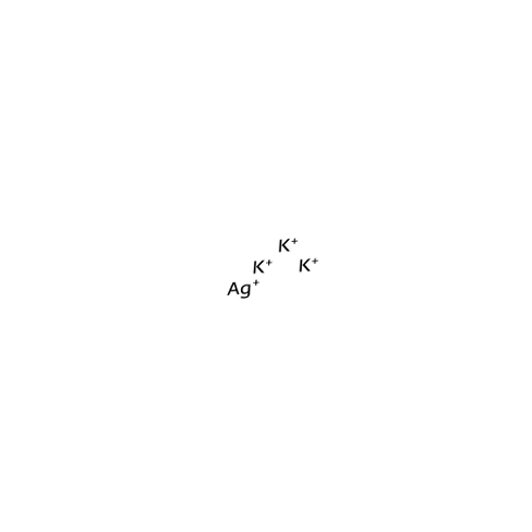 [Ag+].[K+].[K+].[K+]